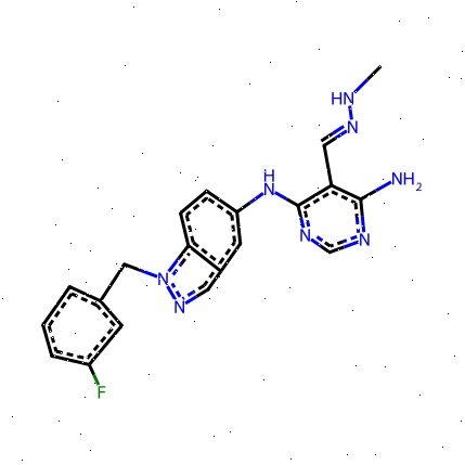 CNN=Cc1c(N)ncnc1Nc1ccc2c(cnn2Cc2cccc(F)c2)c1